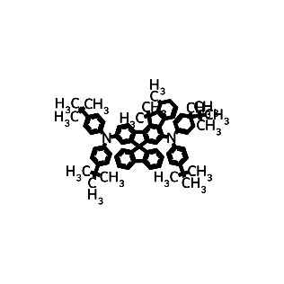 CC1CC=CC2=C1C(C)(C)c1c2c(N(C2=CCC(C)(C(C)(C)C)C=C2)c2ccc(C(C)(C)C)cc2)cc2c1-c1ccc(N(c3ccc(C(C)(C)C)cc3)c3ccc(C(C)(C)C)cc3)cc1C21c2ccccc2-c2ccccc21